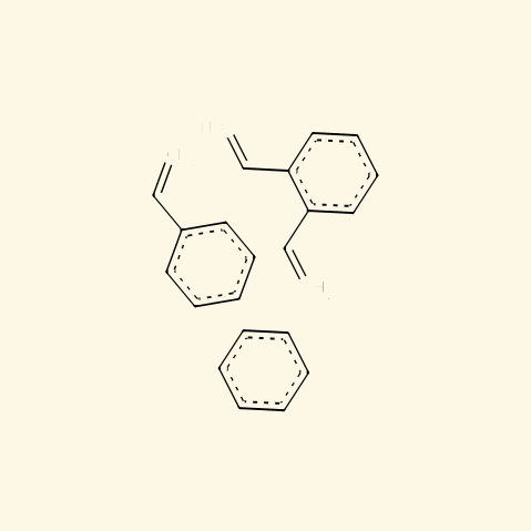 C=Cc1ccccc1.C=Cc1ccccc1C=C.c1ccccc1